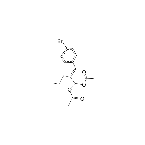 CCC/C(=C\c1ccc(Br)cc1)C(OC(C)=O)OC(C)=O